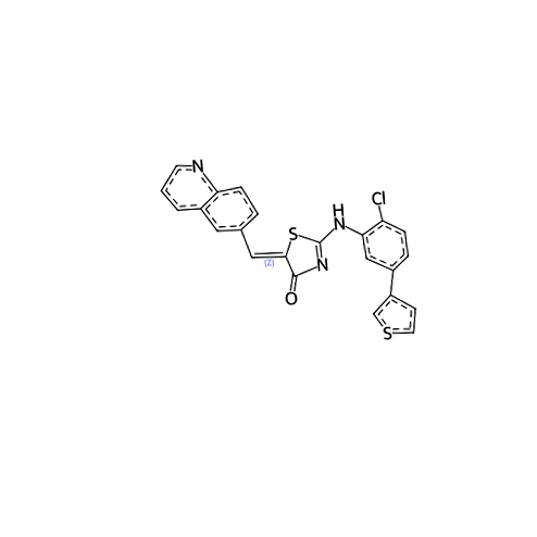 O=C1N=C(Nc2cc(-c3ccsc3)ccc2Cl)S/C1=C\c1ccc2ncccc2c1